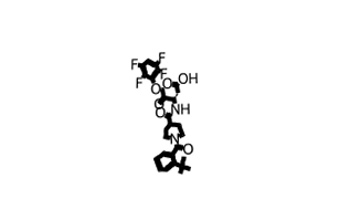 CC(C)(C)c1ccccc1C(=O)N1CCC(C(=O)N[C@@H](CC(=O)O)C(=O)COc2c(F)c(F)cc(F)c2F)CC1